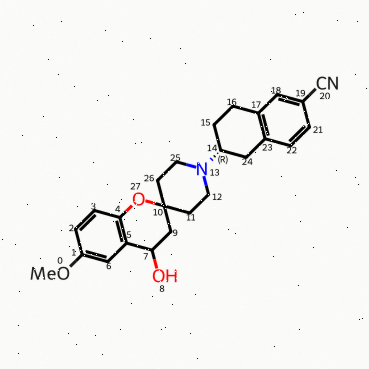 COc1ccc2c(c1)C(O)CC1(CCN([C@@H]3CCc4cc(C#N)ccc4C3)CC1)O2